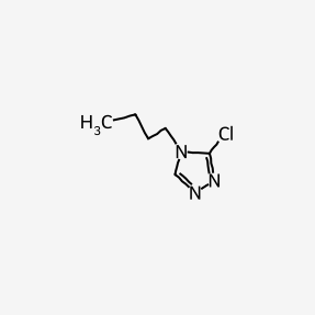 CCCCn1cnnc1Cl